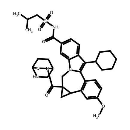 COc1ccc2c(c1)C1CC1(C(=O)N1CC3CCC1CN3)Cn1c-2c(C2CCCCC2)c2ccc(C(=O)NS(=O)(=O)CC(C)C)cc21